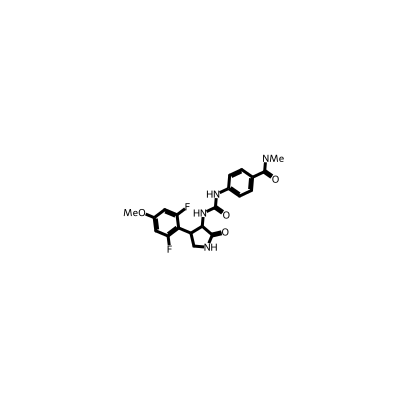 CNC(=O)c1ccc(NC(=O)NC2C(=O)NCC2c2c(F)cc(OC)cc2F)cc1